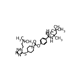 CN(C)CCn1nnnc1SC1CCN(C(=O)Oc2ccc(C(=O)NC(C)(C)CC(C)(C)C)cc2)CC1